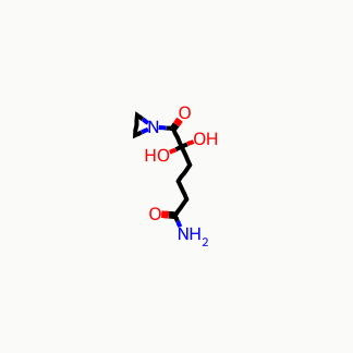 NC(=O)CCCC(O)(O)C(=O)N1CC1